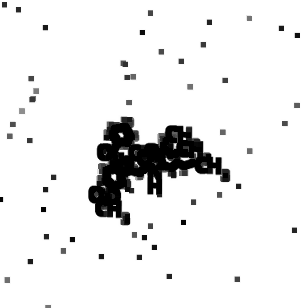 CCCCCC(NC(=O)Cc1c(C)n(C(=O)c2ccccc2)c2ccc(OC(C)=O)cc12)C(=O)N(CC)CC